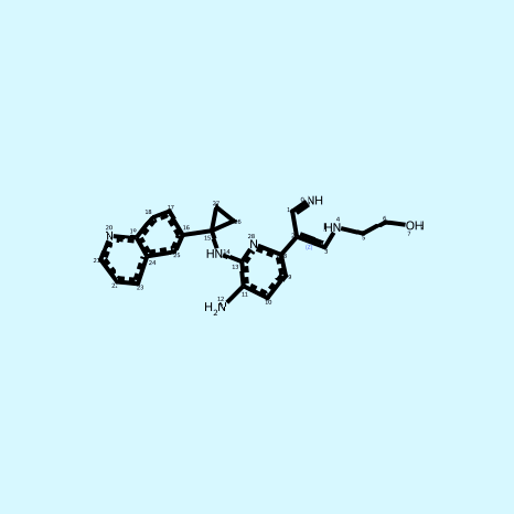 N=C/C(=C\NCCO)c1ccc(N)c(NC2(c3ccc4ncccc4c3)CC2)n1